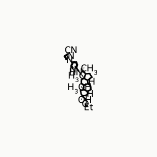 CCOC[C@@]1(O)CC[C@@]2(C)[C@H](CC[C@H]3C4CCC([C@@H](C)Nc5ccc(-n6ccc(C#N)n6)cn5)[C@@]4(C)CC[C@@H]32)C1